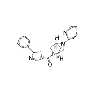 O=C(N1C=NC(c2ccccc2)C1)N1C[C@@H]2C[C@H]1CN2c1ccccn1